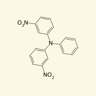 O=[N+]([O-])c1cccc(N(c2ccccc2)c2cccc([N+](=O)[O-])c2)c1